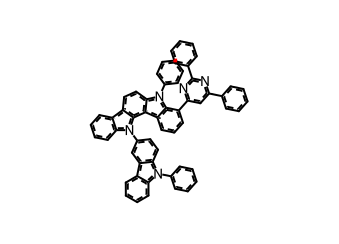 c1ccc(-c2cc(-c3cccc4c5c(ccc6c7ccccc7n(-c7ccc8c(c7)c7ccccc7n8-c7ccccc7)c65)n(-c5ccccc5)c34)nc(-c3ccccc3)n2)cc1